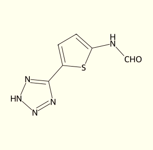 O=CNc1ccc(-c2nn[nH]n2)s1